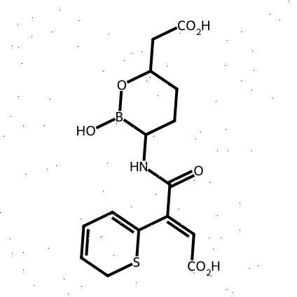 O=C(O)/C=C(/C(=O)NC1CCC(CC(=O)O)OB1O)C1=CC=CCS1